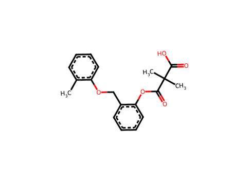 Cc1ccccc1OCc1ccccc1OC(=O)C(C)(C)C(=O)O